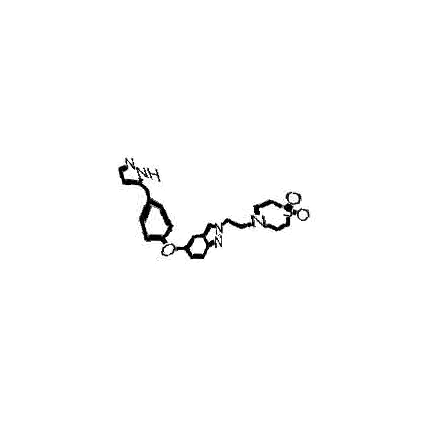 O=S1(=O)CCN(CCn2cc3cc(Oc4ccc(-c5ccn[nH]5)cc4)ccc3n2)CC1